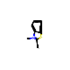 [CH]c1sc2ccccc2[n+]1C